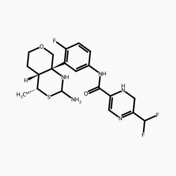 C[C@H]1SC(N)N[C@@]2(c3cc(NC(=O)C4=CN=C(C(F)F)CN4)ccc3F)COCC[C@@H]12